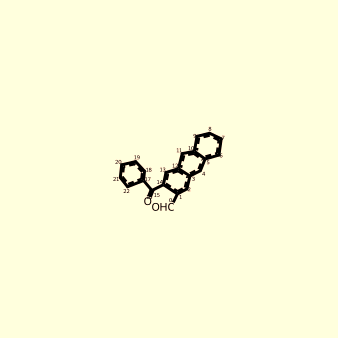 O=Cc1cc2cc3ccccc3cc2cc1C(=O)c1ccccc1